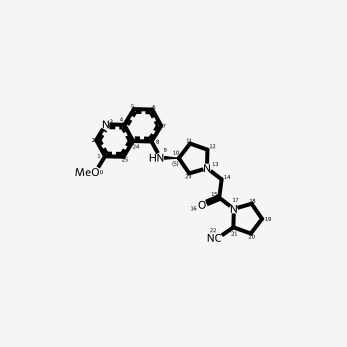 COc1cnc2cccc(N[C@H]3CCN(CC(=O)N4CCCC4C#N)C3)c2c1